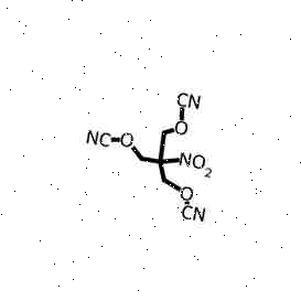 N#COCC(COC#N)(COC#N)[N+](=O)[O-]